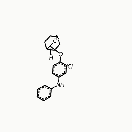 Cl.c1ccc(Nc2ccc(O[C@H]3CN4CCC3CC4)cc2)cc1